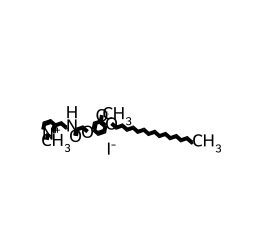 CCCCCCCCCCCCCCCCOc1ccc(OCC(=O)NCCc2ccc[n+](C)c2)cc1OC.[I-]